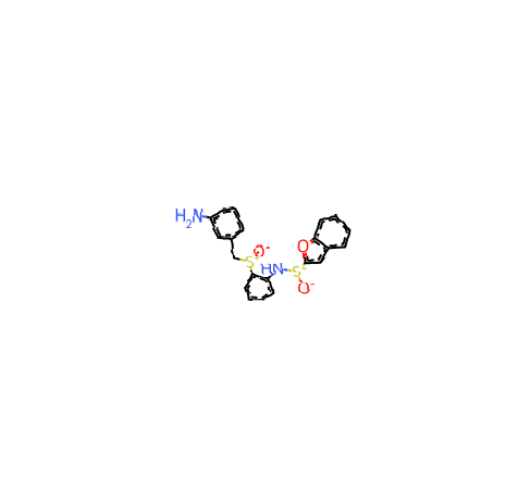 Nc1cccc(C[S+]([O-])c2ccccc2N[S+]([O-])c2cc3ccccc3o2)c1